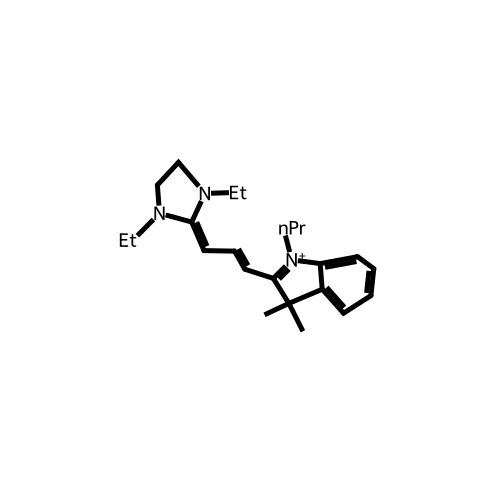 CCC[N+]1=C(/C=C/C=C2N(CC)CCN2CC)C(C)(C)c2ccccc21